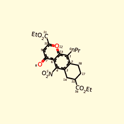 CCCc1c2c(c([N+](=O)[O-])c3c(=O)cc(C(=O)OCC)oc13)CC(C(=O)OCC)CC2